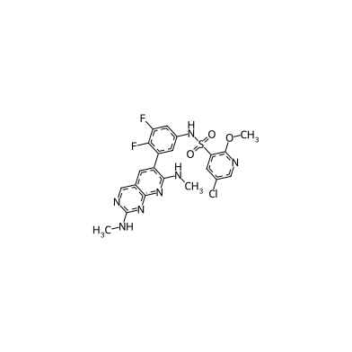 CNc1ncc2cc(-c3cc(NS(=O)(=O)c4cc(Cl)cnc4OC)cc(F)c3F)c(NC)nc2n1